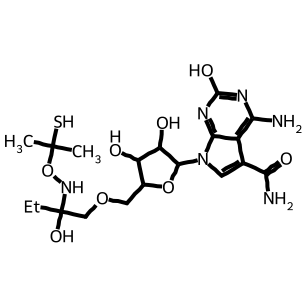 CCC(O)(COCC1OC(n2cc(C(N)=O)c3c(N)nc(O)nc32)C(O)C1O)NOC(C)(C)S